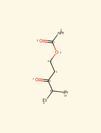 CCCC(=O)O[C]CC(=O)C(CC)C(C)C